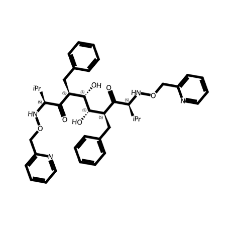 CC(C)[C@H](NOCc1ccccn1)C(=O)[C@@H](Cc1ccccc1)[C@H](O)[C@@H](O)[C@H](Cc1ccccc1)C(=O)[C@@H](NOCc1ccccn1)C(C)C